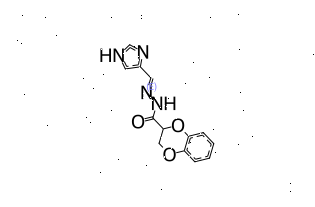 O=C(N/N=C/c1c[nH]cn1)C1COc2ccccc2O1